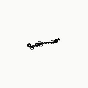 C=C(C)c1ccc(COCCCCCCCCC(=O)Oc2ccc(C=CC(=O)c3ccccc3)cc2)cc1